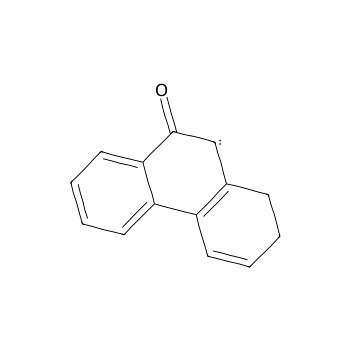 O=C1[C]C2=C(C=CCC2)c2ccccc21